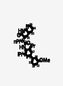 CCCN(C(=O)Nc1c(C(C)C)cc(-c2cccc(OC)c2)cc1C(C)C)c1cc2cccnc2[nH]c1=O